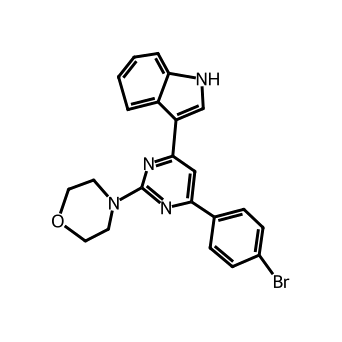 Brc1ccc(-c2cc(-c3c[nH]c4ccccc34)nc(N3CCOCC3)n2)cc1